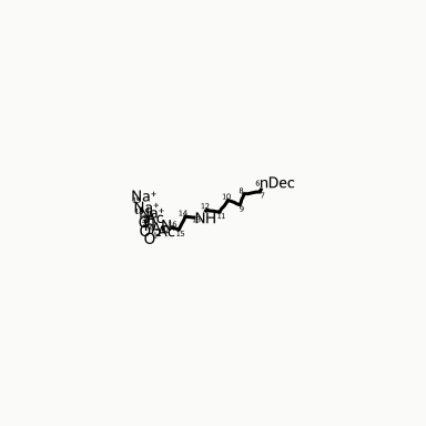 CC(=O)[O-].CC(=O)[O-].CC(=O)[O-].CCCCCCCCCCCCCCCCNCCN.[Na+].[Na+].[Na+]